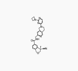 C[C@@]1(C#N)COCc2ccc(C(=O)NCc3cc4c(cn3)CCN(c3ccnc(N5CCC5)n3)C4)cc21